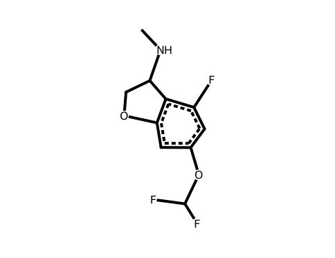 CNC1COc2cc(OC(F)F)cc(F)c21